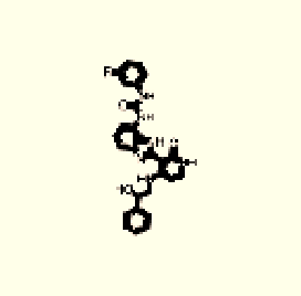 O=C(Nc1cccc(F)c1)Nc1cccc2nc(-c3c(NCC(O)c4ccccc4)cc[nH]c3=O)[nH]c12